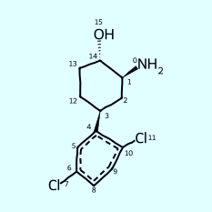 N[C@H]1C[C@@H](c2cc(Cl)ccc2Cl)CC[C@@H]1O